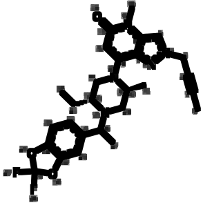 CC#CCn1cc2c(n1)c(N1C[C@@H](CC)N(C(C)c3ccc4c(c3)OC(F)(F)O4)C[C@@H]1C)cc(=O)n2C